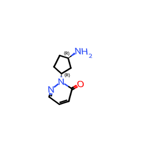 N[C@@H]1CC[C@@H](n2ncccc2=O)C1